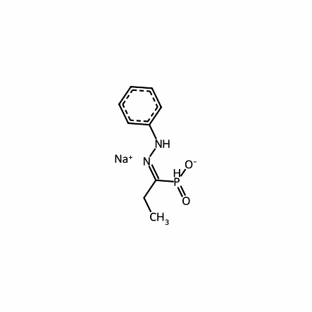 CCC(=NNc1ccccc1)[PH](=O)[O-].[Na+]